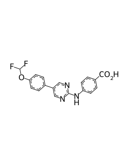 O=C(O)c1ccc(Nc2ncc(-c3ccc(OC(F)F)cc3)cn2)cc1